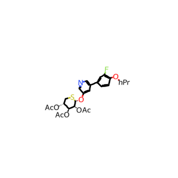 CCCOc1ccc(-c2cncc(O[C@H]3SC[C@@H](OC(C)=O)[C@H](OC(C)=O)[C@H]3OC(C)=O)c2)cc1F